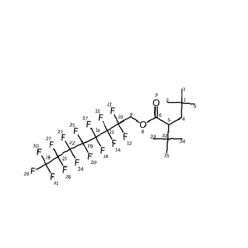 CC(C)(C)CC(C(=O)OCC(F)(F)C(F)(F)C(F)(F)C(F)(F)C(F)(F)C(F)(F)C(F)(F)F)C(C)(C)C